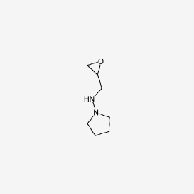 C1CCN(NCC2CO2)C1